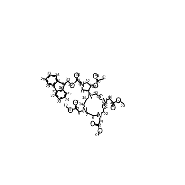 COC(=O)CN1CCN(CC(=O)OC)CCN([C@H]2CN(C(=O)OCC3c4ccccc4-c4ccccc43)C[C@@H]2OC(C)=O)CCN(CC(=O)OC)CC1